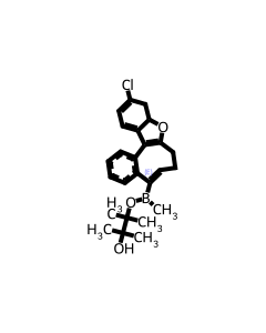 CB(OC(C)(C)C(C)(C)O)/C1=C\CCC2=C(C3=CC=C(Cl)CC3O2)c2ccccc21